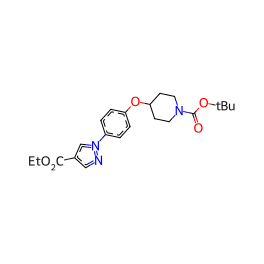 CCOC(=O)c1cnn(-c2ccc(OC3CCN(C(=O)OC(C)(C)C)CC3)cc2)c1